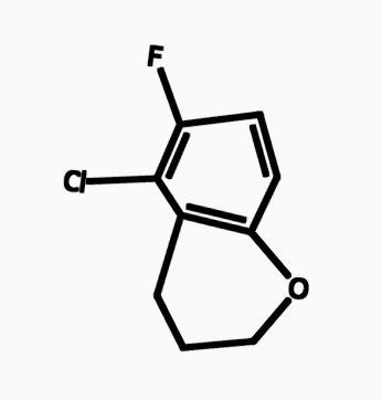 Fc1ccc2c(c1Cl)CCCO2